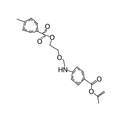 C=C(C)OC(=O)c1ccc(NCOCCOS(=O)(=O)c2ccc(C)cc2)cc1